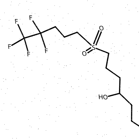 CCCC(O)CCCS(=O)(=O)CCCC(F)(F)C(F)(F)F